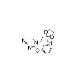 CN(CCC1(CI)OCCO1)/C(=N\C#N)Oc1ccccc1